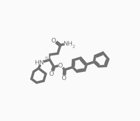 NC(=O)CC[C@H](NC1CCCCC1)C(=O)OC(=O)c1ccc(-c2ccccc2)cc1